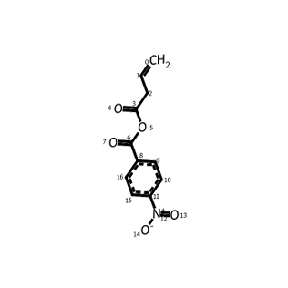 C=CCC(=O)OC(=O)c1ccc([N+](=O)[O-])cc1